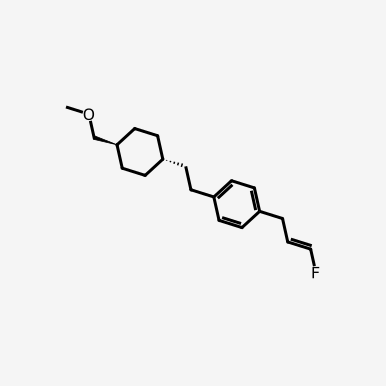 COC[C@H]1CC[C@H](CCc2ccc(CC=CF)cc2)CC1